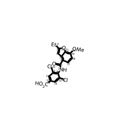 CCc1cc2c(C(=O)Nc3c(Cl)cc(C(=O)O)cc3Cl)ccc(OC)c2o1